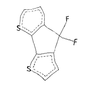 FC1(F)c2ccsc2-c2sccc21